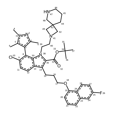 Cc1nn(C)c(C)c1-c1c(Cl)ccc2c(CCCOc3cccc4cc(F)ccc34)c(C(=O)OC(C)(C)C)n(CCN3CC4(CCCNC4)C3)c12